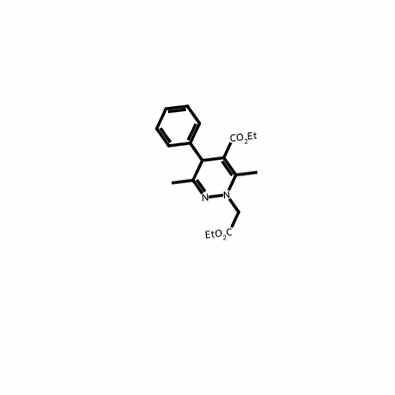 CCOC(=O)CN1N=C(C)C(c2ccccc2)C(C(=O)OCC)=C1C